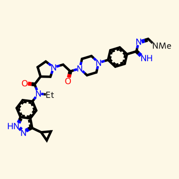 CCN(C(=O)C1CCN(CC(=O)N2CCN(c3ccc(C(=N)/N=C\NC)cc3)CC2)C1)c1ccc2[nH]nc(C3CC3)c2c1